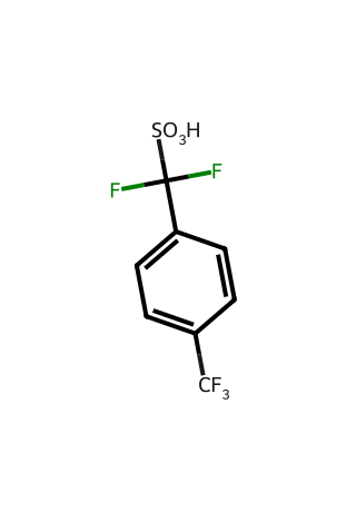 O=S(=O)(O)C(F)(F)c1ccc(C(F)(F)F)cc1